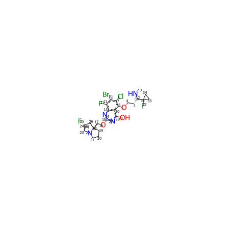 CN[C@@H](CCOc1c(Cl)c(Br)c(F)c2nc(OC[C@@]34CCCN3C[C@H](F)C4)nc(O)c12)C1(F)CC1